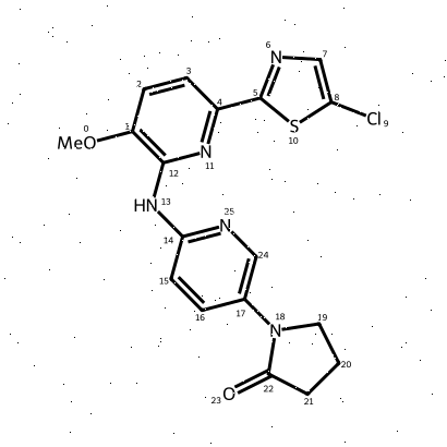 COc1ccc(-c2ncc(Cl)s2)nc1Nc1ccc(N2CCCC2=O)cn1